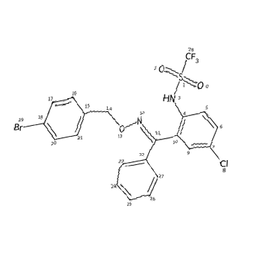 O=S(=O)(Nc1ccc(Cl)cc1/C(=N/OCc1ccc(Br)cc1)c1ccccc1)C(F)(F)F